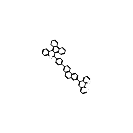 C1=Cc2c(c3c4ccccc4nc(-c4ccc(-c5ccc6c(ccc7cc(-c8cc9cccnc9c9ncccc89)ccc76)c5)cc4)c3c3ccccc23)CC1